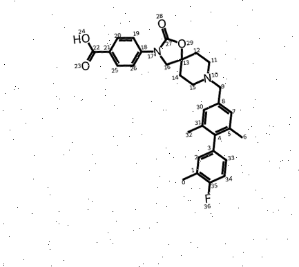 Cc1cc(-c2c(C)cc(CN3CCC4(CC3)CN(c3ccc(C(=O)O)cc3)C(=O)O4)cc2C)ccc1F